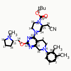 Cc1cccc(N2CCc3c(nc(OC[C@@H]4CCCN4C)nc3N3C=C(CC#N)N(C(=O)OC(C)(C)C)CC3)C2)c1C